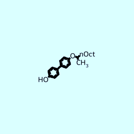 CCCCCCCCC(C)Oc1ccc(-c2ccc(O)cc2)cc1